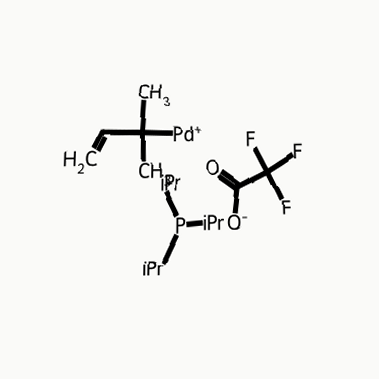 C=C[C](C)(C)[Pd+].CC(C)P(C(C)C)C(C)C.O=C([O-])C(F)(F)F